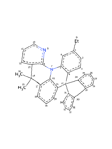 CCc1ccc2c(c1)N1c3ncccc3C(C)(C)c3cccc(c31)C21c2ccccc2-c2ccccc21